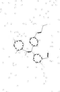 CC/C(=C(/c1ccc(/C=C/CO)cc1)c1ccc(N)c(C=N)c1)c1ccc(P)cc1I